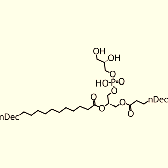 CCCCCCCCCCCCCCCCCCCCC(=O)O[C@H](COC(=O)CCCCCCCCCCCC)COP(=O)(O)OC[C@@H](O)CO